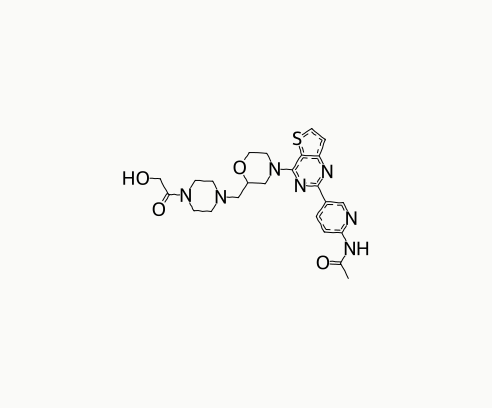 CC(=O)Nc1ccc(-c2nc(N3CCOC(CN4CCN(C(=O)CO)CC4)C3)c3sccc3n2)cn1